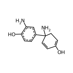 Nc1cc(C2(N)C=CC(O)=CC2)ccc1O